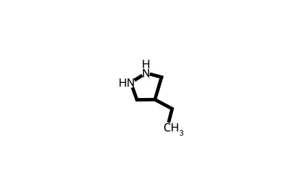 CCC1CNNC1